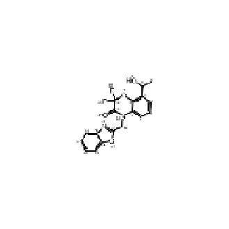 CC(O)c1cccc2c1OC(F)(F)C(=O)N2Cc1nc2ccccc2o1